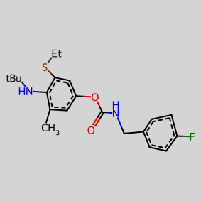 CCSc1cc(OC(=O)NCc2ccc(F)cc2)cc(C)c1NC(C)(C)C